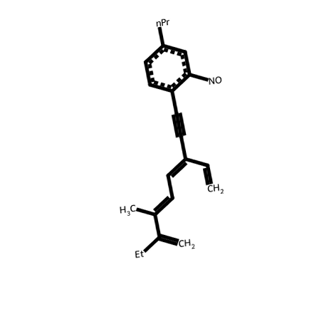 C=C/C(C#Cc1ccc(CCC)cc1N=O)=C\C=C(/C)C(=C)CC